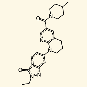 CCn1nc2cc(N3CCCc4cc(C(=O)N5CCC(C)CC5)cnc43)ccn2c1=O